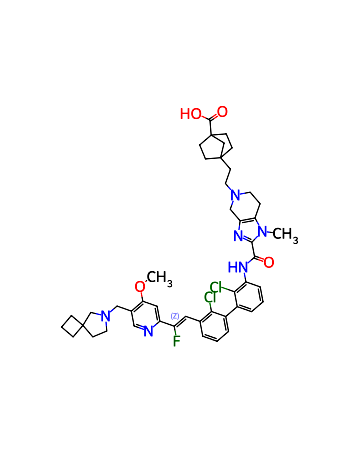 COc1cc(/C(F)=C/c2cccc(-c3cccc(NC(=O)c4nc5c(n4C)CCN(CCC46CCC(C(=O)O)(CC4)C6)C5)c3Cl)c2Cl)ncc1CN1CCC2(CCC2)C1